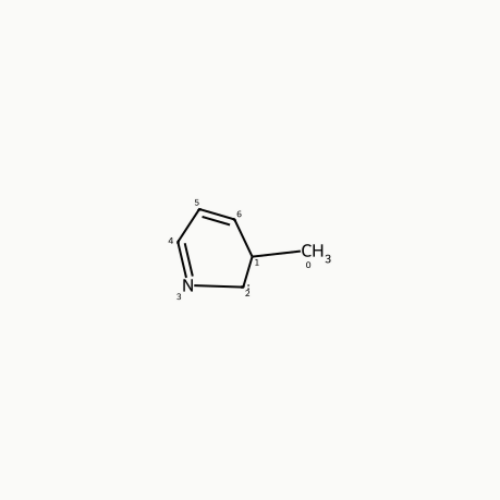 CC1[C]N=CC=C1